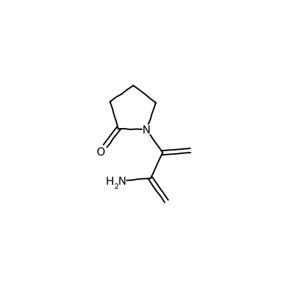 C=C(N)C(=C)N1CCCC1=O